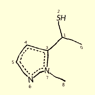 CC(S)c1ccnn1C